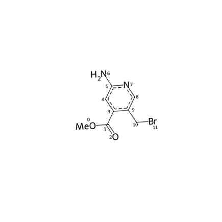 COC(=O)c1cc(N)ncc1CBr